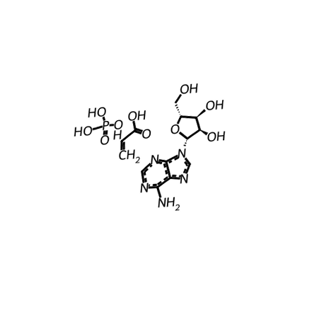 C=CC(=O)O.Nc1ncnc2c1ncn2[C@@H]1O[C@H](CO)[C@@H](O)[C@H]1O.O=P(O)(O)O